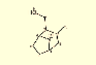 CC1CC2CCC(C1CO)N2C